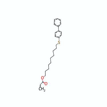 C=CC(=O)OCCCCCCCCCCSc1ccc(-c2ccccc2)cc1